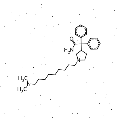 CN(C)CCCCCCCCCN1CCC(C(C(N)=O)(c2ccccc2)c2ccccc2)C1